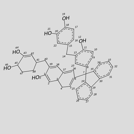 OC1=CC2CC=C(C3(c4ccc(O)c(Cc5ccc(O)c(O)c5)c4)c4ccccc4-c4ccccc43)C=C2C=C1CC1C=C(O)C(O)CC1